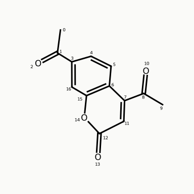 CC(=O)c1ccc2c(C(C)=O)cc(=O)oc2c1